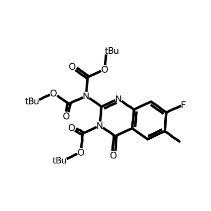 Cc1cc2c(=O)n(C(=O)OC(C)(C)C)c(N(C(=O)OC(C)(C)C)C(=O)OC(C)(C)C)nc2cc1F